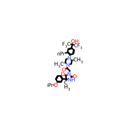 CCCc1cc(C(O)(C(F)(F)F)C(F)(F)F)ccc1N1C[C@@H](C)N(C(=O)CN2C(=O)NC(C)(c3cccc(OC(C)C)c3)C2=O)C[C@@H]1C